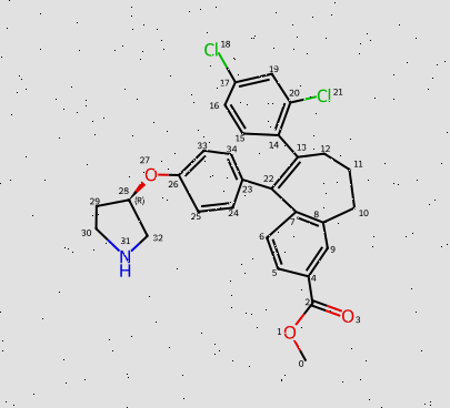 COC(=O)c1ccc2c(c1)CCCC(c1ccc(Cl)cc1Cl)=C2c1ccc(O[C@@H]2CCNC2)cc1